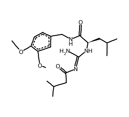 COc1ccc(CNC(=O)[C@@H](CC(C)C)NC(N)=NC(=O)CC(C)C)cc1OC